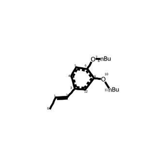 CC=Cc1ccc(OCCCC)c(OCCCC)c1